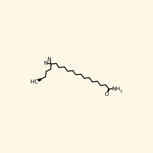 C#CCCCC1(CCCCCCCCCCCCCC(N)=O)N=N1